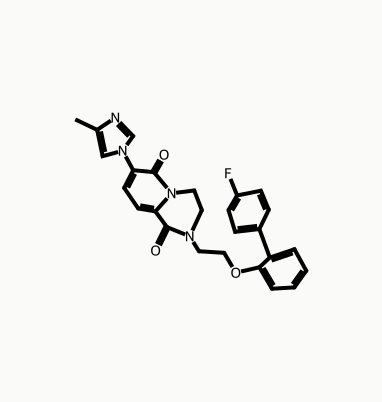 Cc1cn(-c2ccc3n(c2=O)CCN(CCOc2ccccc2-c2ccc(F)cc2)C3=O)cn1